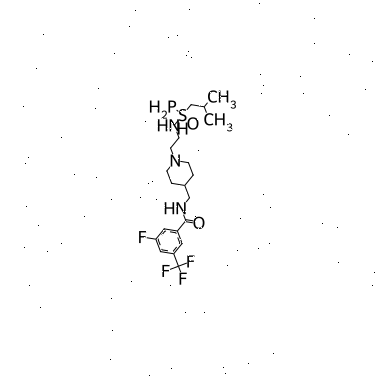 CC(C)C[SH](=O)(P)NCCN1CCC(CNC(=O)c2cc(F)cc(C(F)(F)F)c2)CC1